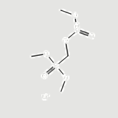 CO[PH](=O)OCP(=O)(OC)OC.[Li+]